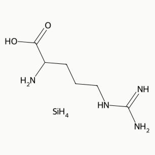 N=C(N)NCCCC(N)C(=O)O.[SiH4]